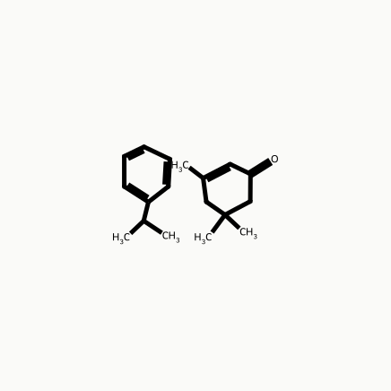 CC(C)c1ccccc1.CC1=CC(=O)CC(C)(C)C1